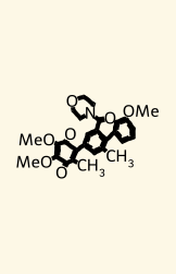 COC1=C(OC)C(=O)C(c2cc(C)c(-c3cccc(OC)c3)c(C(=O)N3CCOCC3)c2)=C(C)C1=O